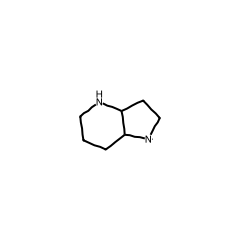 C1CNC2CC[N]C2C1